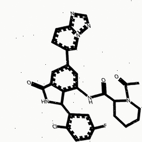 CC(=O)N1CCCCC1C(=O)Nc1cc(-c2ccc3ncnn3c2)cc2c1C(c1cc(F)ccc1Cl)NC2=O